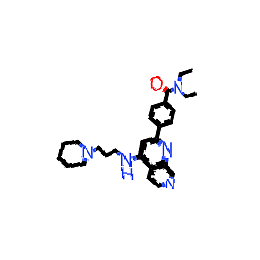 CCN(CC)C(=O)c1ccc(-c2cc(NCCCN3CCCCC3)c3ccncc3n2)cc1